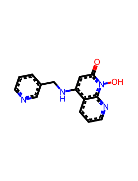 O=c1cc(NCc2cccnc2)c2cccnc2n1O